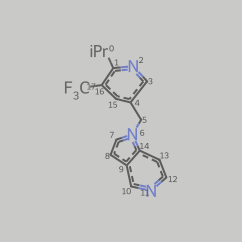 CC(C)c1ncc(Cn2ccc3cnccc32)cc1C(F)(F)F